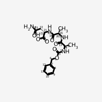 C[C@@H](NC(=O)OCc1ccccc1)C(=O)N[C@H](C)C(=O)N[C@@H](CC(N)=O)C(=O)O